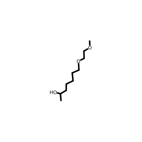 COCCOCCCCCC(C)O